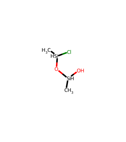 C[SiH](O)O[SiH](C)Cl